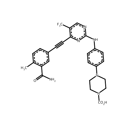 Cc1ccc(C#Cc2nc(Nc3ccc(N4CCN(C(=O)O)CC4)cc3)ncc2C(F)(F)F)cc1C(N)=O